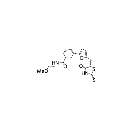 COCCNC(=O)c1cccc(-c2ccc(C=C3SC(=S)NC3=O)o2)c1